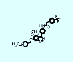 CCN1CCC(COc2cc3ncnc(-c4ccc(NC(=O)Cc5ccc(C(F)(F)F)cc5)cc4)c3cc2OC)CC1